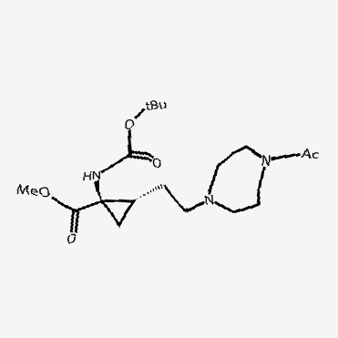 COC(=O)[C@@]1(NC(=O)OC(C)(C)C)C[C@H]1CCN1CCN(C(C)=O)CC1